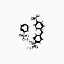 O=S(=O)(O)c1ccccc1.O=[N+]([O-])c1ccc(Cc2ccc(S(=O)(=O)O)cc2)cc1